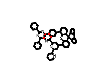 C1=CC2C(Sc3c(C4=CC(c5ccccn5)=NC(c5ccccn5)C4)cccc3C23c2ccccc2-c2ccccc23)C(c2ccc(-c3nc(-c4ccccc4)nc(-c4ccccc4)n3)cc2)=C1